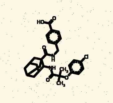 CC(C)(Oc1ccc(Cl)cc1)C(=O)NC1C2CC3CC(C2)CC1(C(=O)NCc1ccc(C(=O)O)cc1)C3